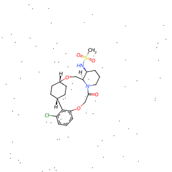 CS(=O)(=O)N[C@H]1CCCN2C(=O)COc3cccc(Cl)c3[C@H]3CC[C@H](CC3)OC[C@@H]12